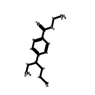 CCOC(=O)c1ccc(C(CC)CCBr)cc1